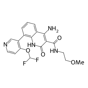 COCCNC(=O)c1c(N)c2cccc(-c3cnccc3OC(F)F)c2[nH]c1=O